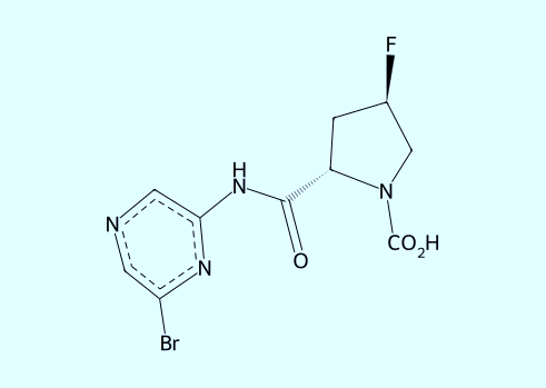 O=C(Nc1cncc(Br)n1)[C@@H]1C[C@@H](F)CN1C(=O)O